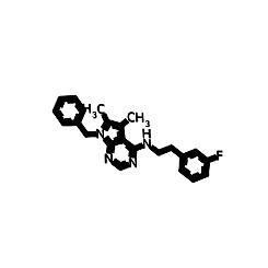 Cc1c(C)n(Cc2ccccc2)c2ncnc(NCCc3cccc(F)c3)c12